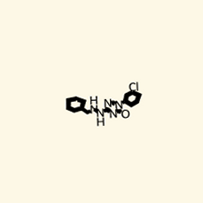 O=c1nc(NNCc2ccccc2)ncn1-c1cccc(Cl)c1